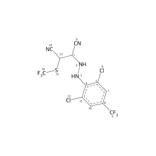 N#CC(NNc1c(Cl)cc(C(F)(F)F)cc1Cl)C(C#N)SC(F)(F)F